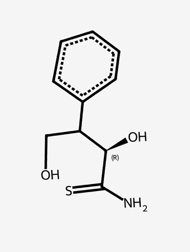 NC(=S)[C@H](O)C(CO)c1ccccc1